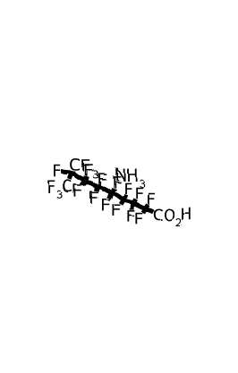 N.O=C(O)C(F)(F)C(F)(F)C(F)(F)C(F)(F)C(F)(F)C(F)(F)C(F)(C(F)(F)F)C(F)(F)F